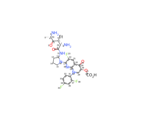 CCC(C(=O)[C@H](C)N)[C@H](N)C(=O)NC1CCCN1c1nc2c(cc1F)c(=O)c(OC(=O)O)cn2-c1ccc(F)cc1F